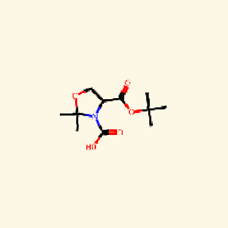 CC(C)(C)OC(=O)C1COC(C)(C)N1C(=O)O